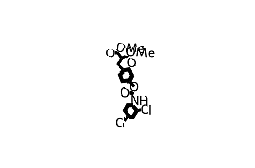 COC(=O)C(Cc1ccc(OC(=O)Nc2ccc(Cl)cc2Cl)cc1)C(=O)OC